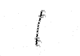 NCCC[C@H](N)C(=O)NCCCOCCOCCOCCOCCOCCCNC(=O)[C@@H](N)CCCN